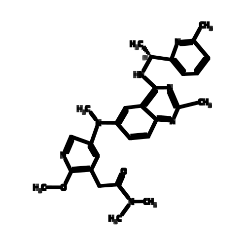 COc1ncc(N(C)c2ccc3nc(C)nc(N[C@H](C)c4cccc(C)n4)c3c2)cc1CC(=O)N(C)C